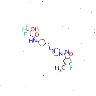 Cc1cc2c(N3CCN(CC[C@H]4CC[C@H](NC(=O)C[C@H](O)C(F)(F)F)CC4)CC3)noc2cc1F